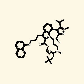 CCOC(=O)c1c(CCCOc2cccc3ccccc23)c2cccc(-c3c(CBr)nn(C)c3C(C)C)c2n1CCCN(C)C(=O)OC(C)(C)C